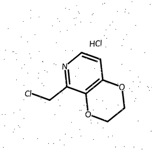 Cl.ClCc1nccc2c1OCCO2